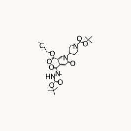 CCCCOC(=O)c1cn(C2CCN(C(=O)OC(C)(C)C)CC2)c(=O)cc1C(=O)N(C)NC(=O)OC(C)(C)C